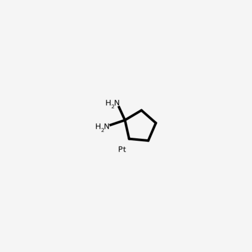 NC1(N)CCCC1.[Pt]